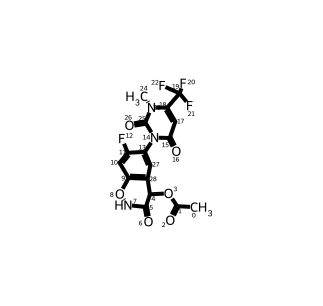 CC(=O)OC1C(=O)NOc2cc(F)c(-n3c(=O)cc(C(F)(F)F)n(C)c3=O)cc21